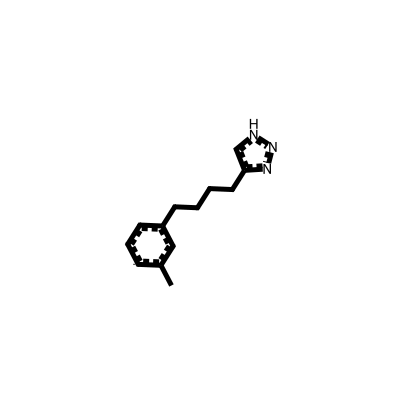 Cc1[c]ccc(CCCCc2c[nH]nn2)c1